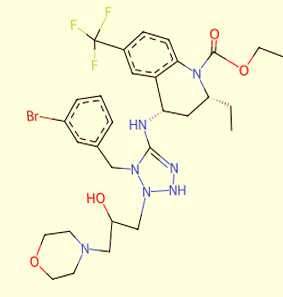 CCOC(=O)N1c2ccc(C(F)(F)F)cc2[C@@H](NC2=NNN(CC(O)CN3CCOCC3)N2Cc2cccc(Br)c2)C[C@H]1CC